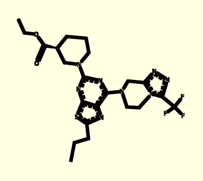 CCCc1nc2c(N3CCn4c(nnc4C(F)(F)F)C3)nc(N3CCC[C@H](C(=O)OCC)C3)nc2s1